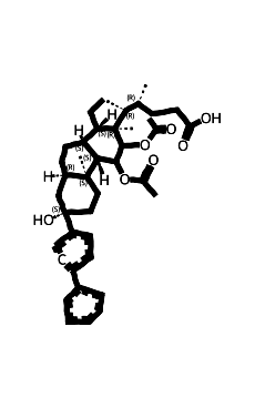 CC(=O)OC1C(OC(C)=O)[C@]2(C)[C@@H]([C@H](C)CCC(=O)O)CC[C@H]2[C@@H]2CC[C@@H]3C[C@](O)(c4ccc(-c5ccccc5)cc4)CC[C@]3(C)[C@@H]12